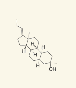 CC/C=C1\CC[C@H]2[C@@H]3CC[C@@H]4C[C@](C)(O)CC[C@@H]4[C@H]3CC[C@]12C